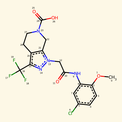 COc1ccc(Cl)cc1NC(=O)Cn1nc(C(F)(F)F)c2c1CN(C(=O)O)CC2